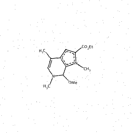 CCOC(=O)c1cc2c(n1C)C(OC)N(C)C=C2C